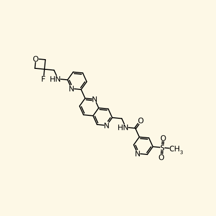 CS(=O)(=O)c1cncc(C(=O)NCc2cc3nc(-c4cccc(NCC5(F)COC5)n4)ccc3cn2)c1